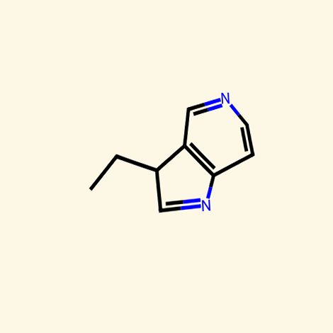 CCC1C=Nc2ccncc21